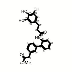 COC(=O)Cc1cccc(-c2ccccc2NC(=O)CCc2cc(O)c(O)c(O)c2)c1